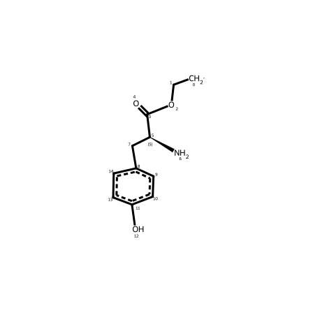 [CH2]COC(=O)[C@@H](N)Cc1ccc(O)cc1